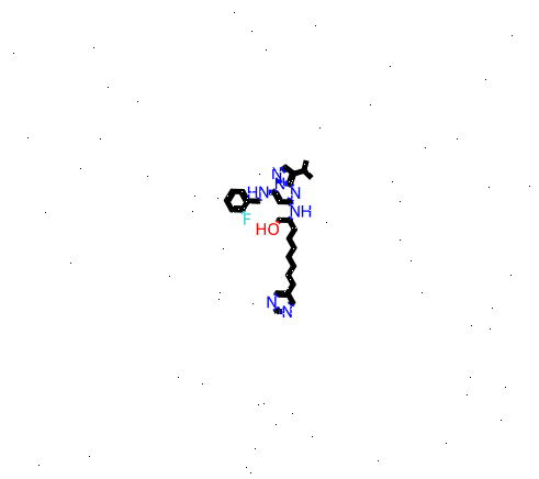 CC(C)c1cnn2c(NCc3ccccc3F)cc(NC(CO)CCCCCCCc3cncnc3)nc12